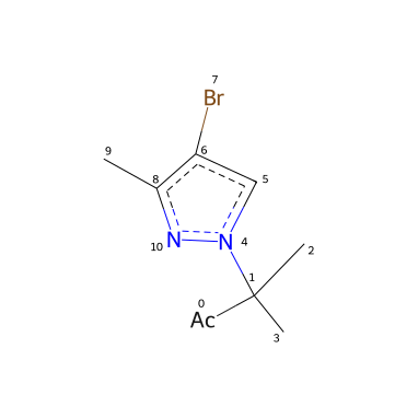 CC(=O)C(C)(C)n1cc(Br)c(C)n1